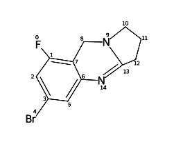 Fc1cc(Br)cc2c1CN1CCCC1=N2